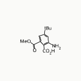 COC(=O)c1cc(C(C)(C)C)cc(N)c1C(=O)O